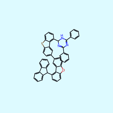 c1ccc(C2=NC(c3cccc4sc5ccc(-c6ccc7oc8cccc(C9c%10ccccc%10-c%10ccccc%109)c8c7c6)cc5c34)NC(c3ccccc3)=N2)cc1